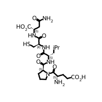 CC(C)C[C@H](NC(=O)[C@@H]1CCCN1C(=O)[C@@H](N)CCC(=O)O)C(=O)N[C@@H](CS)C(=O)N[C@@H](CC(N)=O)C(=O)O